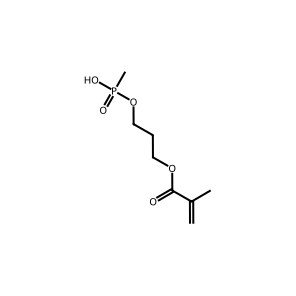 C=C(C)C(=O)OCCCOP(C)(=O)O